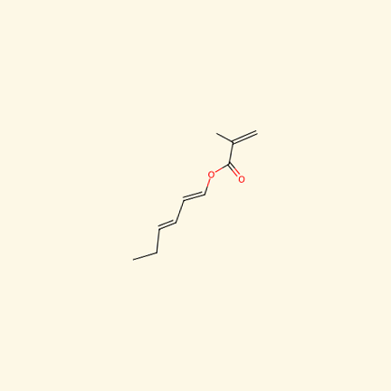 C=C(C)C(=O)OC=CC=CCC